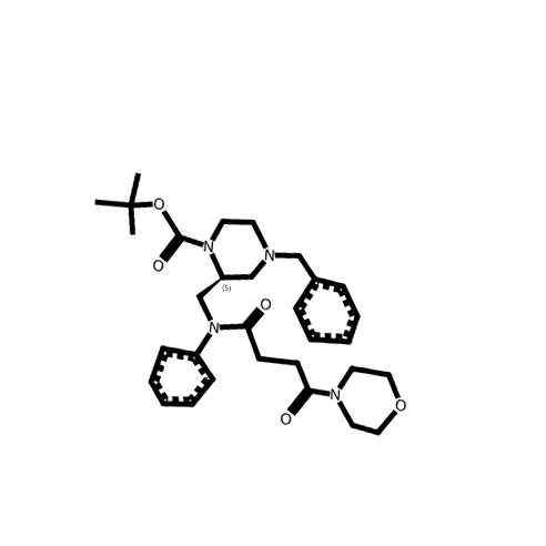 CC(C)(C)OC(=O)N1CCN(Cc2ccccc2)C[C@H]1CN(C(=O)CCC(=O)N1CCOCC1)c1ccccc1